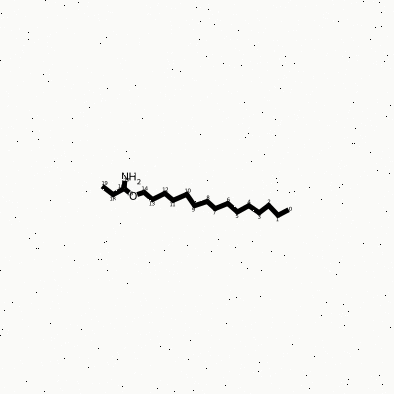 CCCCCCCCCCCCCCCOC(N)CC